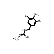 N/C(=N\C(=O)O)NCc1cc(Cl)c(N)c(Cl)c1